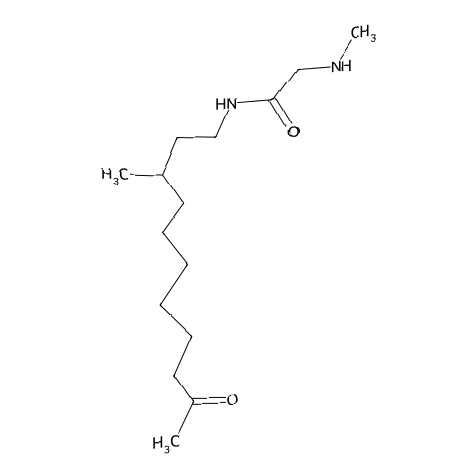 CNCC(=O)NCCC(C)CCCCCCC(C)=O